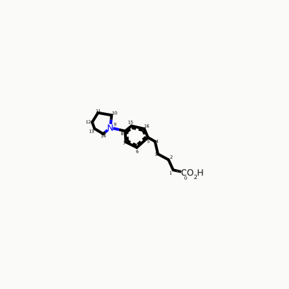 O=C(O)CCCCc1ccc(N2CCCCC2)cc1